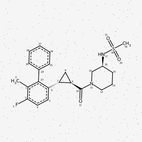 Cc1c(F)ccc([C@@H]2C[C@H]2C(=O)N2CCC[C@H](NS(C)(=O)=O)C2)c1-c1ccccc1